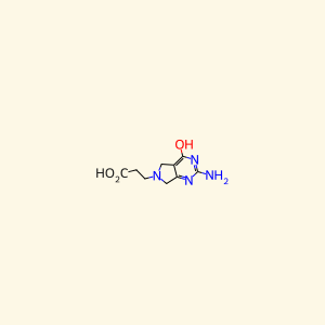 Nc1nc(O)c2c(n1)CN(CCC(=O)O)C2